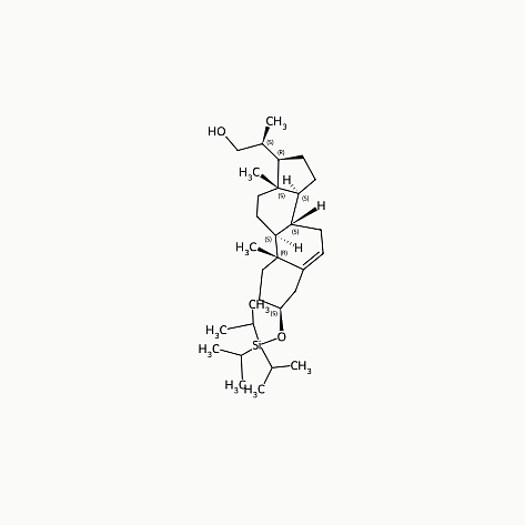 CC(C)[Si](O[C@H]1CC[C@@]2(C)C(=CC[C@H]3[C@@H]4CC[C@H]([C@H](C)CO)[C@@]4(C)CC[C@@H]32)C1)(C(C)C)C(C)C